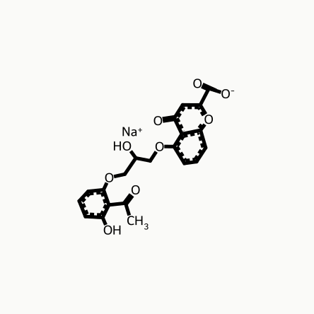 CC(=O)c1c(O)cccc1OCC(O)COc1cccc2oc(C(=O)[O-])cc(=O)c12.[Na+]